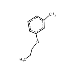 [CH2]CCOc1cccc(C)c1